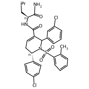 Cc1ccccc1S(=O)(=O)N1C(c2cccc(Cl)c2)C(C(=O)N[C@@H](CC(C)C)C(N)=O)=CC[C@H]1c1ccc(Cl)cc1